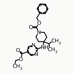 CCOC(=O)c1cnc(NC2(C(C)C)CCN(C(=O)OCc3ccccc3)CC2)nc1